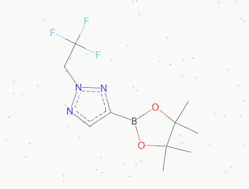 CC1(C)OB(c2cnn(CC(F)(F)F)n2)OC1(C)C